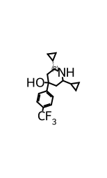 OC1(c2ccc(C(F)(F)F)cc2)CC(C2CC2)N[C@@H](C2CC2)C1